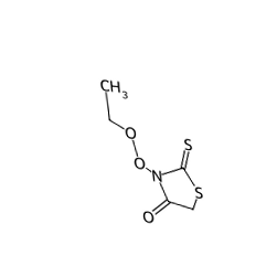 CCOON1C(=O)CSC1=S